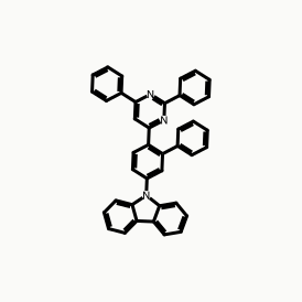 c1ccc(-c2cc(-c3ccc(-n4c5ccccc5c5ccccc54)cc3-c3ccccc3)nc(-c3ccccc3)n2)cc1